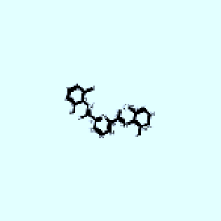 C/C(=N\c1c(C)cccc1C)c1cccc(/C(C)=N/c2c(C)cccc2Cl)n1